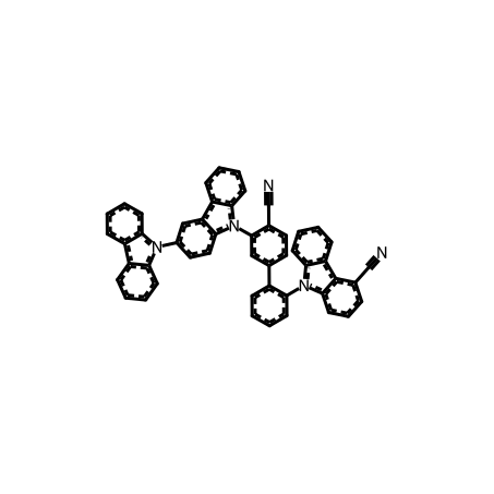 N#Cc1ccc(-c2ccccc2-n2c3ccccc3c3c(C#N)cccc32)cc1-n1c2ccccc2c2cc(-n3c4ccccc4c4ccccc43)ccc21